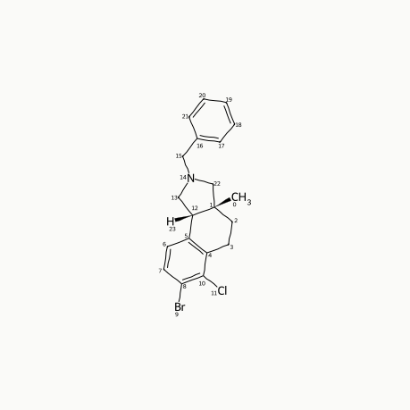 C[C@@]12CCc3c(ccc(Br)c3Cl)[C@@H]1CN(Cc1ccccc1)C2